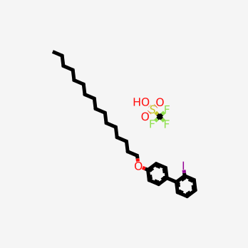 CCCCCCCCCCCCCCCCOc1ccc(-c2ccccc2I)cc1.O=S(=O)(O)C(F)(F)F